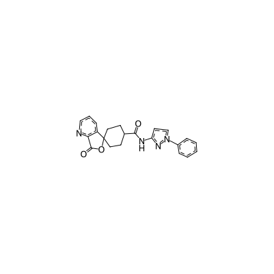 O=C1OC2(CCC(C(=O)Nc3ccn(-c4ccccc4)n3)CC2)c2cccnc21